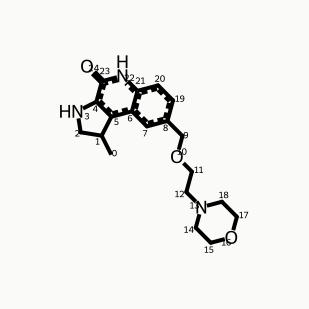 CC1CNc2c1c1cc(COCCN3CCOCC3)ccc1[nH]c2=O